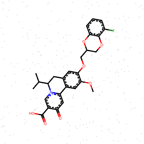 COc1cc2c(cc1OCC1COc3c(F)cccc3O1)CC(C(C)C)n1cc(C(=O)O)c(=O)cc1-2